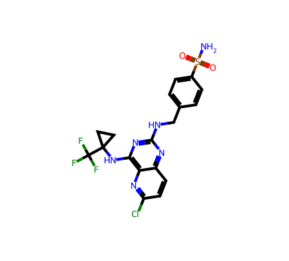 NS(=O)(=O)c1ccc(CNc2nc(NC3(C(F)(F)F)CC3)c3nc(Cl)ccc3n2)cc1